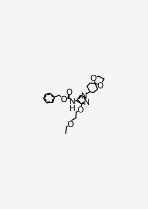 CCOCCCOc1nn(C2CCC3(CC2)OCCO3)cc1NC(=O)OCc1ccccc1